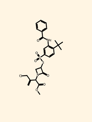 C=C(CCl)C(C(=O)OC)N1CC(SS(=O)(=O)c2ccc(C(C)(C)C)c(NC(=O)c3ccccc3)c2)C1=O